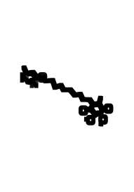 COC1=C(OC)C(=O)C(CCCCCCCCCCOc2cc(C)ncn2)=C(C)C1=O